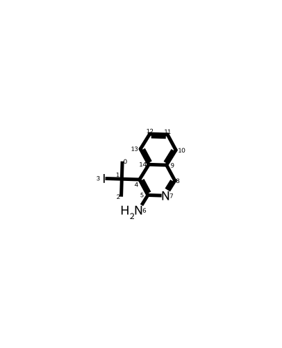 CC(C)(I)c1c(N)ncc2ccccc12